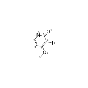 COc1cc[nH]c(=O)c1I